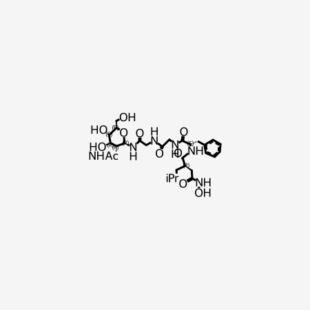 CC(=O)N[C@@H]1[C@@H](O)[C@H](O)[C@@H](CO)O[C@H]1NC(=O)CNC(=O)CNC(=O)[C@H](Cc1ccccc1)NC(=O)[C@@H](CC(=O)NO)CC(C)C